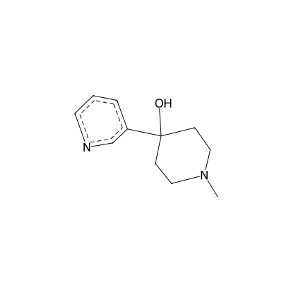 CN1CCC(O)(c2cccnc2)CC1